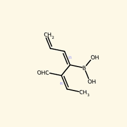 C=C/C=C(B(O)O)\C(C=O)=C/C